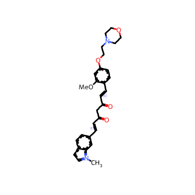 COc1cc(OCCN2CCOCC2)ccc1/C=C/C(=O)CC(=O)/C=C/c1ccc2ccn(C)c2c1